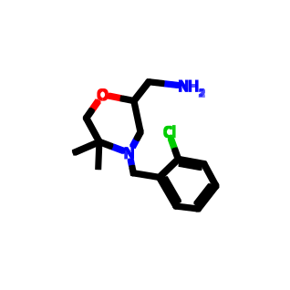 CC1(C)COC(CN)CN1Cc1ccccc1Cl